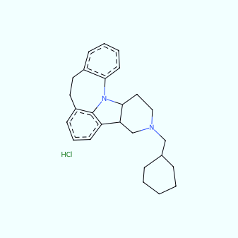 Cl.c1ccc2c(c1)CCc1cccc3c1N2C1CCN(CC2CCCCC2)CC31